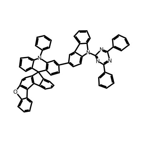 c1ccc(-c2nc(-c3ccccc3)nc(-n3c4ccccc4c4cc(-c5ccc6c(c5)N(c5ccccc5)c5ccccc5C65c6ccccc6-c6c5ccc5oc7ccccc7c65)ccc43)n2)cc1